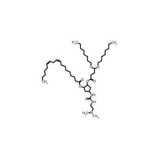 CCCCC/C=C\C/C=C\CCCCCCCC(=O)OC1CC(NC(=S)NCCN(C)C)CC1OC(=O)CCC(OCCCCCCCC)OCCCCCCCC